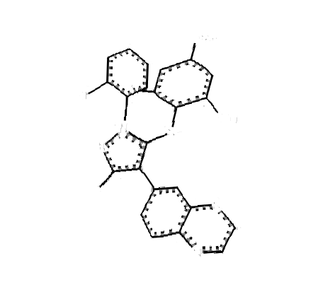 COc1cc(I)c(Nc2c(-c3ccc4nccnc4c3)c(C)nn2-c2ccccc2Cl)c(C(=O)O)c1